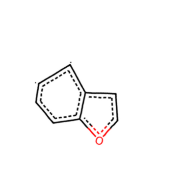 [c]1[c]c2ccoc2cc1